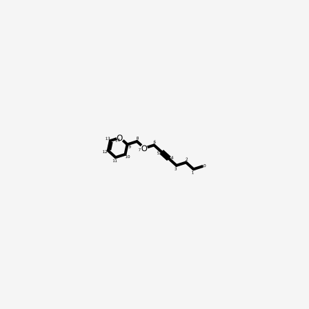 CCCCC#CCOCC1CCC=CO1